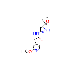 COc1cc(CC(=O)Nc2cc([C@@H]3CCCO3)[nH]n2)ccn1